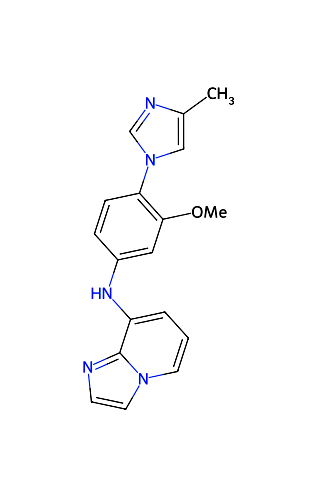 COc1cc(Nc2cccn3ccnc23)ccc1-n1cnc(C)c1